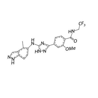 COc1cc(-c2n[nH]c(Nc3ccc4[nH]ncc4c3C)n2)ccc1C(=O)NCC(F)(F)F